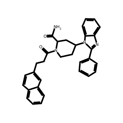 NC(=O)C1CC(n2c(-c3ccccc3)nc3ccccc32)CCN1C(=O)[CH]Cc1ccc2ccccc2c1